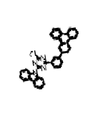 Clc1nc(-c2cccc(-c3ccc4c5ccccc5c5ccccc5c4c3)c2)nc(-n2c3ccccc3c3ccccc32)n1